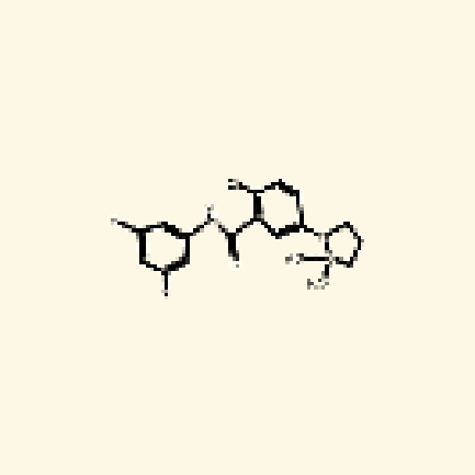 O=C(Nc1cc(F)cc(F)c1)c1cc(N2CCCS2(O)O)ccc1Cl